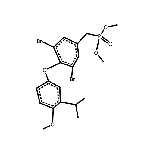 COc1ccc(Oc2c(Br)cc(CP(=O)(OC)OC)cc2Br)cc1C(C)C